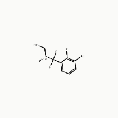 CC(=O)c1cccc(C(F)(F)[C@H](C)CO)c1F